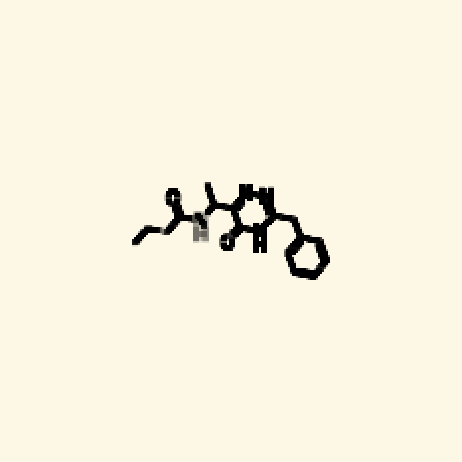 CCCC(=O)NC(C)c1nnc(Cc2ccccc2)[nH]c1=O